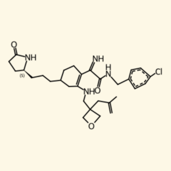 C=C(C)CC1(CNC2=C(C(=N)C(=O)NCc3ccc(Cl)cc3)CCC(CCC[C@H]3CCC(=O)N3)C2)COC1